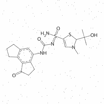 CN1C=C(S(N)(=O)=NC(=O)Nc2cc3c(c4c2CCC4=O)CCC3)SC1C(C)(C)O